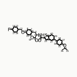 COC(=O)C(Cc1ccc(OCc2ccc(F)cc2)cc1)NC(=O)c1cc2cc(-c3ccc(OC(C)C)cc3)ccc2s1